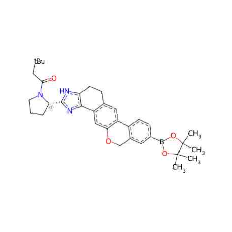 CC(C)(C)CC(=O)N1CCC[C@H]1c1nc2c([nH]1)CCc1cc3c(cc1-2)OCc1cc(B2OC(C)(C)C(C)(C)O2)ccc1-3